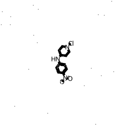 O=[N+]([O-])c1ccc(NC2CCN(Cl)CC2)cc1